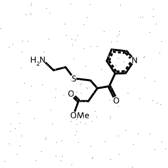 COC(=O)CC(CSCCN)C(=O)c1cccnc1